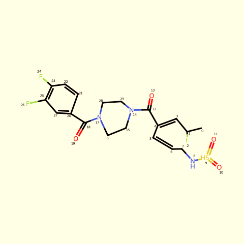 CC(F)/C=C(\C=C/CN[SH](=O)=O)C(=O)N1CCN(C(=O)c2ccc(F)c(F)c2)CC1